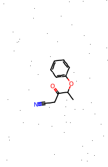 CC(Oc1ccccc1)C(=O)CC#N